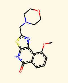 COc1cccc2c(=O)[nH]c3sc(CN4CCOCC4)nc3c12